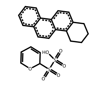 O=S(=O)(O)S(=O)(=O)C1C=CC=CO1.c1ccc2c(c1)ccc1c3c(ccc12)CCCC3